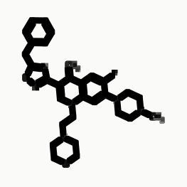 C=C1C(c2noc(Cc3ccccc3)n2)=CN(CCN2CCOCC2)c2cc(N3CCN(C)CC3)c(F)cc21